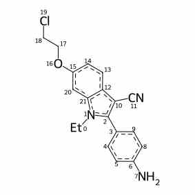 CCn1c(-c2ccc(N)cc2)c(C#N)c2ccc(OCCCl)cc21